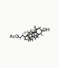 CC(=O)OCCC1CC[C@H]2[C@@H]3CCC4CC(O)CC(C)[C@]4(C)[C@@H]3CC[C@]12C